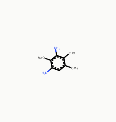 COc1cc(N)c(OC)c(N)c1C=O